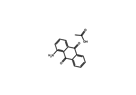 CC(=O)O.Nc1cccc2c1C(=O)c1ccccc1C2=O